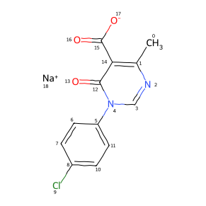 Cc1ncn(-c2ccc(Cl)cc2)c(=O)c1C(=O)[O-].[Na+]